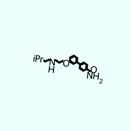 CC(C)CCNCCCOc1cccc(-c2ccc(C(N)=O)cc2)c1